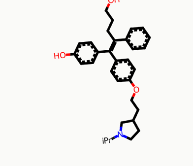 CC(C)N1CCC(CCOc2ccc(/C(=C(/CCCO)c3ccccc3)c3ccc(O)cc3)cc2)C1